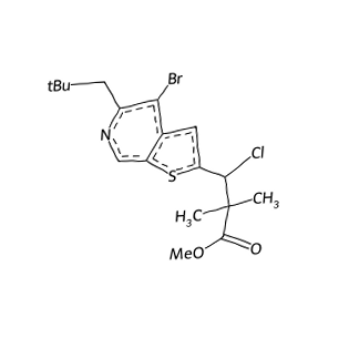 COC(=O)C(C)(C)C(Cl)c1cc2c(Br)c(CC(C)(C)C)ncc2s1